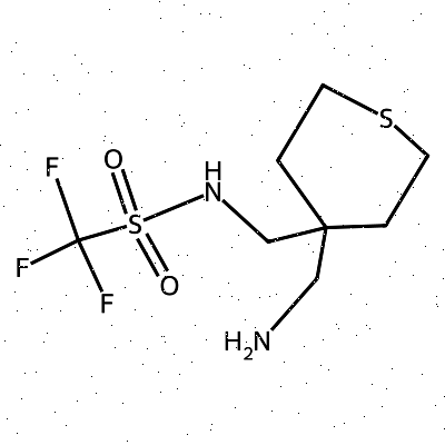 NCC1(CNS(=O)(=O)C(F)(F)F)CCSCC1